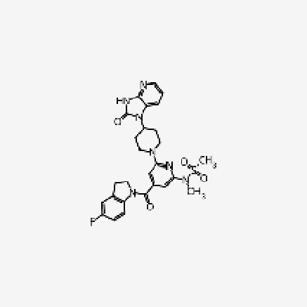 CN(c1cc(C(=O)N2CCc3cc(F)ccc32)cc(N2CCC(n3c(=O)[nH]c4ncccc43)CC2)n1)S(C)(=O)=O